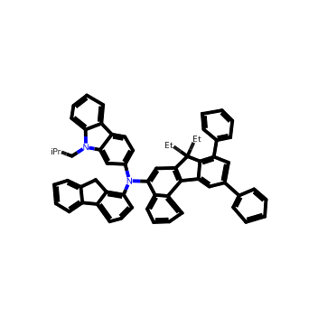 CCC1(CC)c2cc(N(c3ccc4c5ccccc5n(CC(C)C)c4c3)c3cccc4c3Cc3ccccc3-4)c3ccccc3c2-c2cc(-c3ccccc3)cc(-c3ccccc3)c21